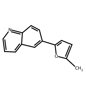 Cc1ccc(-c2ccc3ncccc3c2)o1